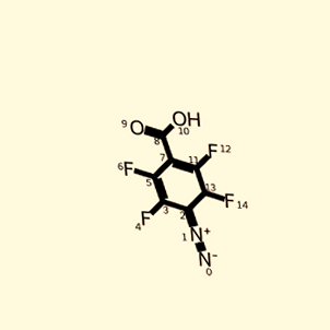 [N-]=[N+]=C1C(F)=C(F)C(C(=O)O)=C(F)C1F